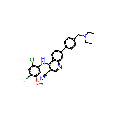 CCN(CC)Cc1ccc(-c2ccc3c(Nc4cc(OC)c(Cl)cc4Cl)c(C#N)cnc3c2)cc1